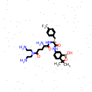 CC1(C)OB(O)c2cc(NC(=O)[C@@H](Cc3ccc(C(F)(F)F)cc3)NC(=O)[C@@H](N)CCC(=O)N(CCN)CCN)ccc21